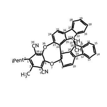 CCCC(C)c1c(C)c(C#N)c2oc3ccc4c5ccccc5n(C)c4c3c3c(ccc4c5ccccc5n(C)c43)oc2c1C#N